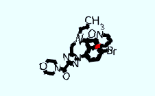 CC1CN2Cc3nc(C(=O)N4CCOCC4)nn3-c3ccc(Br)cc3C2(c2ccccn2)O1